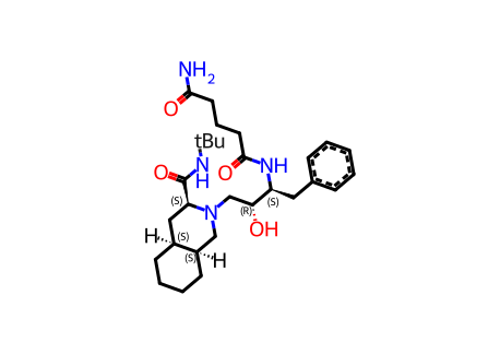 CC(C)(C)NC(=O)[C@@H]1C[C@@H]2CCCC[C@@H]2CN1C[C@@H](O)[C@H](Cc1ccccc1)NC(=O)CCCC(N)=O